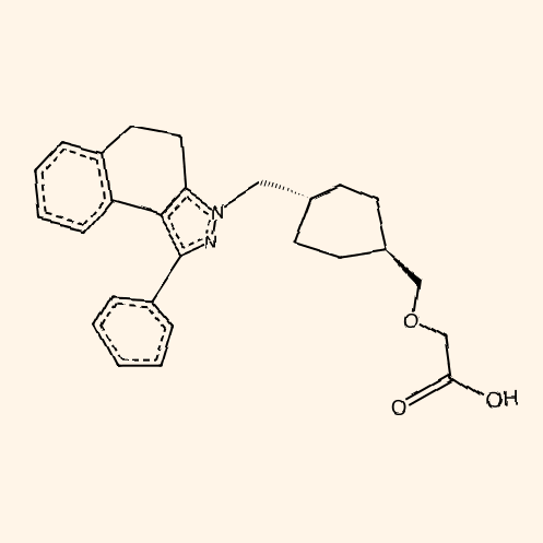 O=C(O)COC[C@H]1CC[C@H](Cn2nc(-c3ccccc3)c3c2CCc2ccccc2-3)CC1